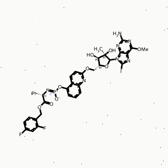 COc1nc(N)nc2c1nc(I)n2C1O[C@H](COc2ccc3c(O/[P+]([O-])=N/[C@H](C(=O)OCc4ccc(F)cc4F)C(C)C)cccc3n2)[C@@H](O)[C@@]1(C)O